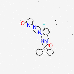 COc1cccc(N2CCN(CCCCC3(C(=O)NCc4ccc(F)cc4)c4ccccc4-c4ccccc43)CC2)n1